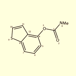 CNC(=O)Oc1cccc2sccc12